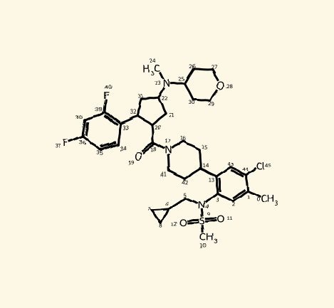 Cc1cc(N(CC2CC2)S(C)(=O)=O)c(C2CCN(C(=O)C3CC(N(C)C4CCOCC4)CC3c3ccc(F)cc3F)CC2)cc1Cl